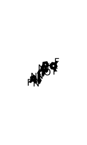 O=C1N2C(=NC13CCN(c1ccnc4c(F)cnn14)CC3)CC[C@H]2c1cc(F)cc(F)c1